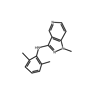 Cc1cccc(C)c1Nc1nn(C)c2ccncc12